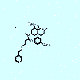 COc1cccc([C@@]23CCN(C)C[C@H]2C(OC)C[C@@H](N(C)C(=O)CCCCCc2ccccc2)C3)c1